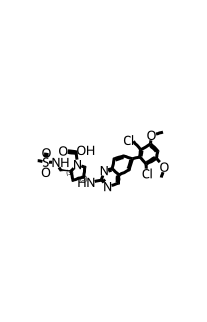 COc1cc(OC)c(Cl)c(-c2ccc3nc(N[C@H]4C[C@@H](CNS(C)(=O)=O)N(C(=O)O)C4)ncc3c2)c1Cl